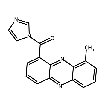 Cc1cccc2nc3cccc(C(=O)n4ccnc4)c3nc12